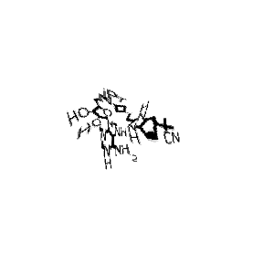 CC(C)N(C[C@H]1O[C@@H](N2CNC3C(N)NCN(C)C32)[C@H](O)[C@@H]1O)[C@H]1C[C@@H](CCC2Nc3ccc(C(C)(C)C#N)cc3N2)C1